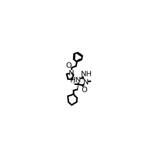 CN1C(=N)N[C@@](CCC2CCCCC2)(C[C@@H]2CCN(C(=O)Cc3ccccc3)C2)C1=O